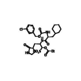 CCC(=O)OC(C(CC1CCNC1=O)NC(=O)C(CC1CCCCC1)NC(=O)OCc1cccc(Cl)c1)S(=O)(=O)O